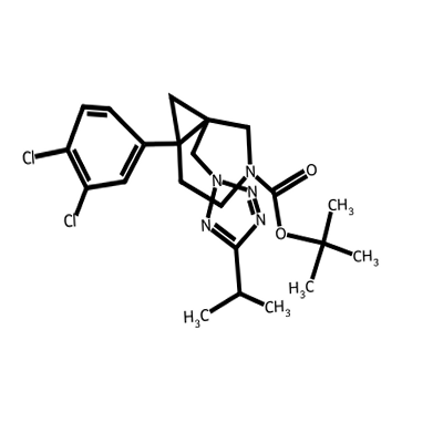 CC(C)c1nnn(CC23CN(C(=O)OC(C)(C)C)CCC2(c2ccc(Cl)c(Cl)c2)C3)n1